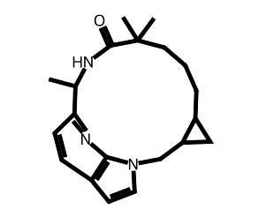 CC1NC(=O)C(C)(C)CCCC2CC2Cn2ccc3ccc1nc32